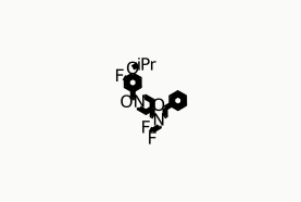 CC(C)Oc1ccc(C(=O)N2CCC3(CC2)CN(CC(F)F)CC(c2ccccc2)O3)cc1F